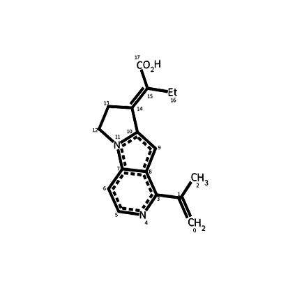 C=C(C)c1nccc2c1cc1n2CCC1=C(CC)C(=O)O